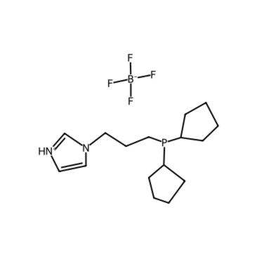 F[B-](F)(F)F.c1cn(CCCP(C2CCCC2)C2CCCC2)c[nH+]1